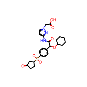 O=C(O)Cn1ccc(NC(=O)C(OC2CCCCC2)c2ccc(S(=O)(=O)C3CCC(=O)C3)cc2)n1